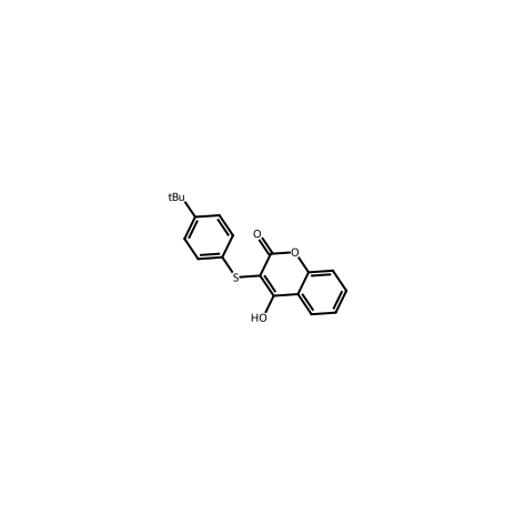 CC(C)(C)c1ccc(Sc2c(O)c3ccccc3oc2=O)cc1